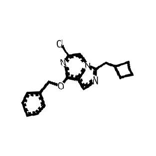 Clc1cn2c(CC3CCC3)ncc2c(OCc2ccccc2)n1